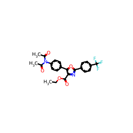 CCOC(=O)c1nc(-c2ccc(C(F)(F)F)cc2)oc1-c1ccc(N(C(C)=O)C(C)=O)cc1